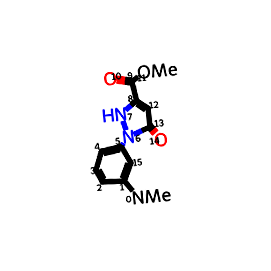 CNc1cccc(-n2[nH]c(C(=O)OC)cc2=O)c1